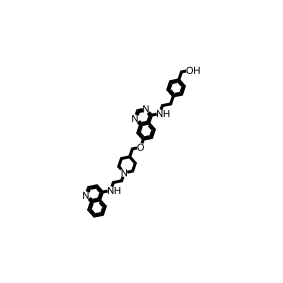 OCc1ccc(CCNc2ncnc3cc(OCC4CCN(CCNc5ccnc6ccccc56)CC4)ccc23)cc1